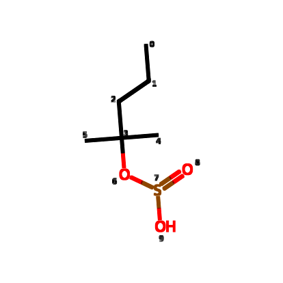 CCCC(C)(C)OS(=O)O